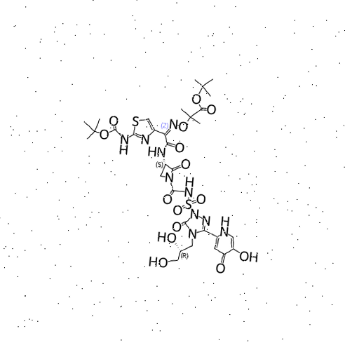 CC(C)(C)OC(=O)Nc1nc(/C(=N/OC(C)(C)C(=O)OC(C)(C)C)C(=O)N[C@H]2CN(C(=O)NS(=O)(=O)n3nc(-c4cc(=O)c(O)c[nH]4)n(C[C@@H](O)CO)c3=O)C2=O)cs1